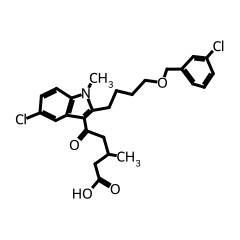 CC(CC(=O)O)CC(=O)c1c(CCCCOCc2cccc(Cl)c2)n(C)c2ccc(Cl)cc12